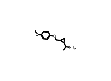 COc1ccc(OCC2CC2C(C)N)cc1